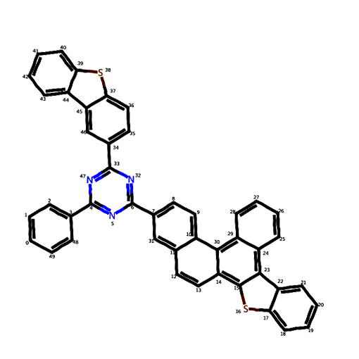 c1ccc(-c2nc(-c3ccc4c(ccc5c6sc7ccccc7c6c6ccccc6c45)c3)nc(-c3ccc4sc5ccccc5c4c3)n2)cc1